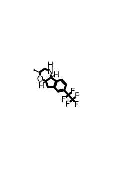 C[C@H]1CN[C@H]2c3ccc(C(F)(F)C(F)(F)F)cc3C[C@H]2O1